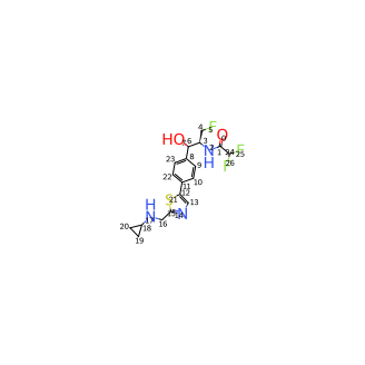 O=C(N[C@H](CF)[C@H](O)c1ccc(-c2cnc(CNC3CC3)s2)cc1)C(F)F